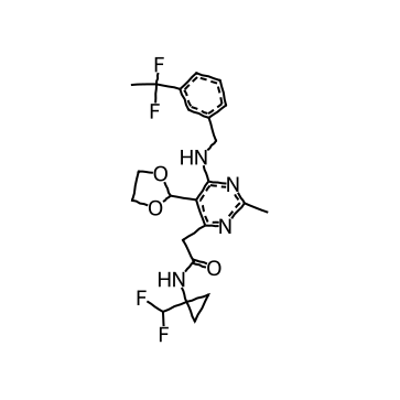 Cc1nc(CC(=O)NC2(C(F)F)CC2)c(C2OCCO2)c(NCc2cccc(C(C)(F)F)c2)n1